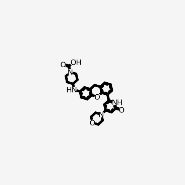 O=C(O)N1CCC(Nc2ccc3c(c2)Cc2cccc(-c4cc(N5CCOCC5)cc(=O)[nH]4)c2O3)CC1